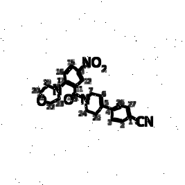 N#Cc1ccc(C2=CCN(C(=O)c3cc([N+](=O)[O-])ccc3N3CCOCC3)CC2)cc1